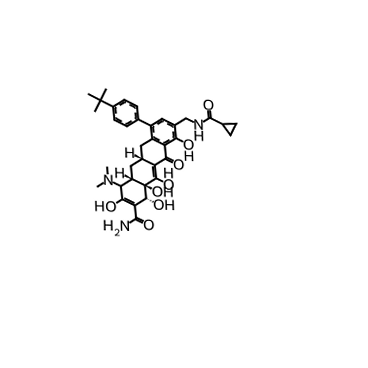 CN(C)C1C(O)=C(C(N)=O)[C@@H](O)[C@@]2(O)C(O)=C3C(=O)c4c(O)c(CNC(=O)C5CC5)cc(-c5ccc(C(C)(C)C)cc5)c4C[C@H]3C[C@@H]12